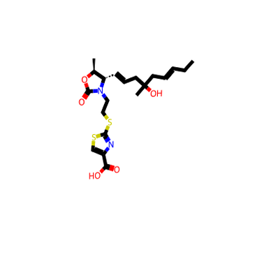 CC/C=C/CC(C)(O)C/C=C/[C@H]1[C@H](C)OC(=O)N1CCSc1nc(C(=O)O)cs1